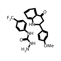 COc1ccc(C2CC(=O)c3ccccc3N2)cc1.NNC(=O)Nc1ccc(C(F)(F)F)cc1